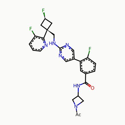 CC(=O)N1CC(NC(=O)c2ccc(F)c(-c3cnc(NC[C@]4(c5ncccc5F)C[C@H](F)C4)nc3)c2)C1